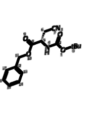 CC(C)(C)OC(=O)N[C@@H](CC#N)C(=O)OCc1ccccc1